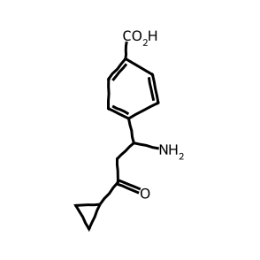 NC(CC(=O)C1CC1)c1ccc(C(=O)O)cc1